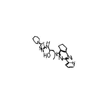 CN(CC(O)Nc1nnc(N2CCCCCC2)s1)c1nc(-c2ccccn2)nc2c1CCC2